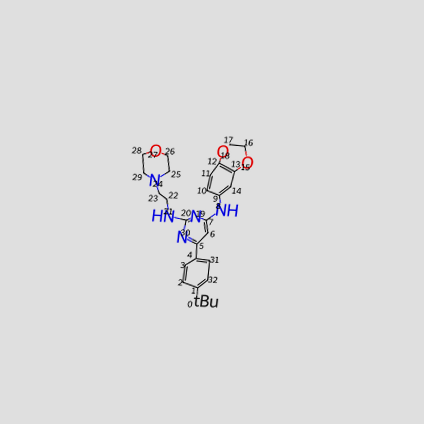 CC(C)(C)c1ccc(-c2cc(Nc3ccc4c(c3)OCCO4)nc(NCCN3CCOCC3)n2)cc1